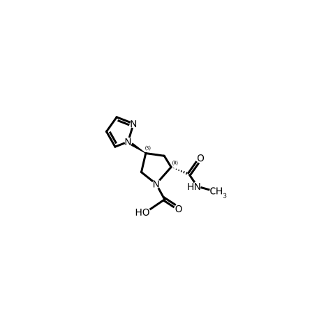 CNC(=O)[C@H]1C[C@H](n2cccn2)CN1C(=O)O